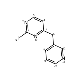 Ic1nccc(Cc2cccnc2)n1